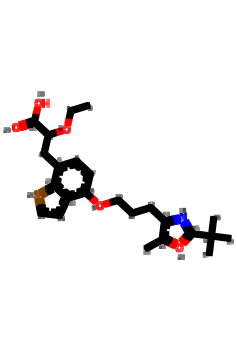 CCOC(Cc1ccc(OCCCc2nc(C(C)(C)C)oc2C)c2ccsc12)C(=O)O